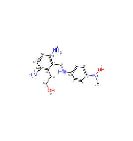 CCN(O)c1ccc(NCc2c(N)ccc(N)c2CCO)cc1